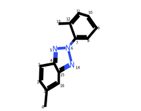 Cc1ccc2nn(-c3ccccc3C)nc2c1